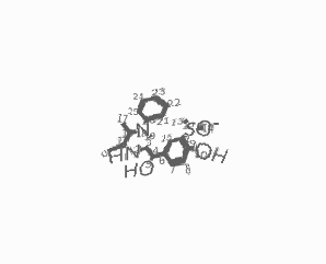 CC(NCC(O)c1ccc(O)c([S+](C)[O-])c1)C(C)N(C)c1ccccc1